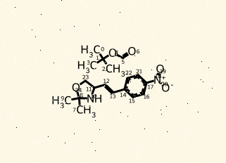 CC(C)(C)OC=O.CC1(C)NC(/C=C/c2ccc([N+](=O)[O-])cc2)CO1